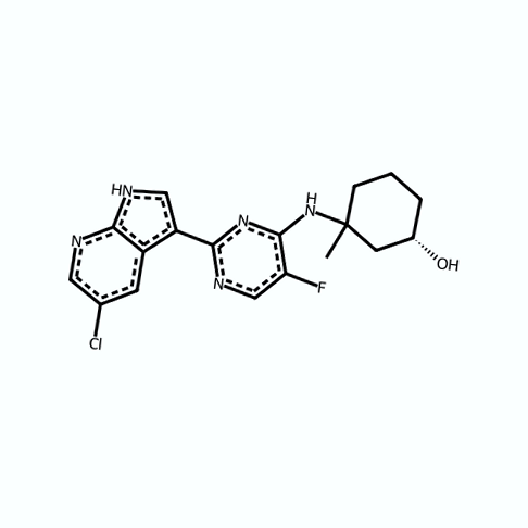 CC1(Nc2nc(-c3c[nH]c4ncc(Cl)cc34)ncc2F)CCC[C@H](O)C1